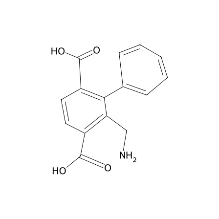 NCc1c(C(=O)O)ccc(C(=O)O)c1-c1ccccc1